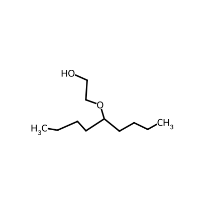 CCCCC(CCCC)OCCO